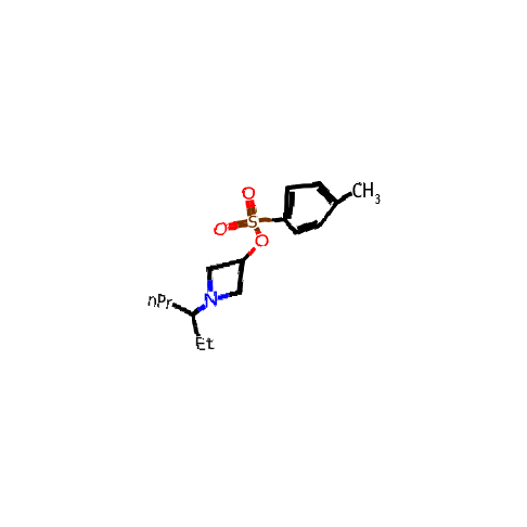 CCCC(CC)N1CC(OS(=O)(=O)c2ccc(C)cc2)C1